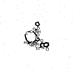 CCc1cc(O[C@@H]2C[C@H]3C(=O)N[C@]4(C(=O)O)C[C@H]4/C=C\CCCCC[C@H](NC(=O)OC4CCCC4)C(=O)N3C2)c2cccc(Cl)c2n1